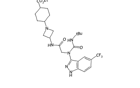 CCOC(=O)C1CCC(N2CC(NC(=O)CN(C(=O)NC(C)(C)C)c3n[nH]c4ccc(C(F)(F)F)cc34)C2)CC1